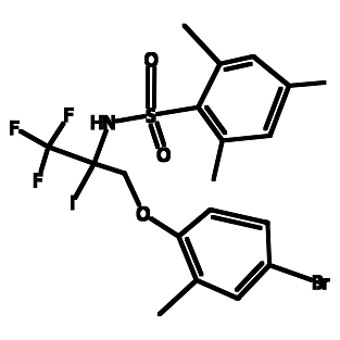 Cc1cc(C)c(S(=O)(=O)NC(I)(COc2ccc(Br)cc2C)C(F)(F)F)c(C)c1